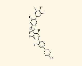 CCC1CCC(c2ccc(-c3cc(F)c(C(F)(F)Oc4ccc(-c5cc(F)c(F)c(F)c5)c(F)c4)c(F)c3)c(F)c2)CC1